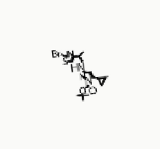 CC(CNc1cc(C2CC2)n(C(=O)OC(C)(C)C)n1)c1csc(Br)n1